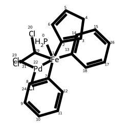 [PH2][Fe]([C]1=CCC=C1)([c]1ccccc1)([c]1ccccc1)([CH](Cl)Cl)[Pd]([Cl])[Cl]